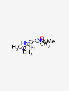 CNC(C)C(=O)N1CCC(c2ccc3[nH]c(-c4cc(C)nc(C)c4)c(C(C)C)c3c2)CC1